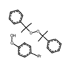 CC(C)(OOC(C)(C)c1ccccc1)c1ccccc1.CC(C)c1ccc(OO)cc1